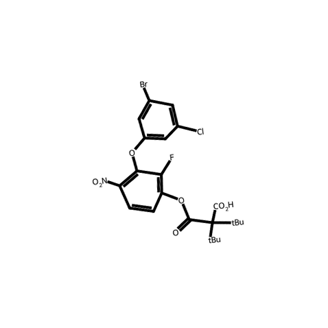 CC(C)(C)C(C(=O)O)(C(=O)Oc1ccc([N+](=O)[O-])c(Oc2cc(Cl)cc(Br)c2)c1F)C(C)(C)C